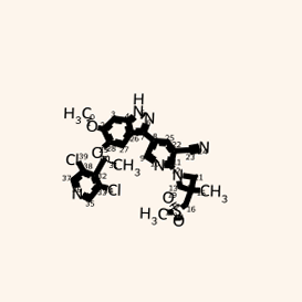 COc1cc2[nH]nc(-c3cnc(N4CC(C)(CS(C)(=O)=O)C4)c(C#N)c3)c2cc1O[C@H](C)c1c(Cl)cncc1Cl